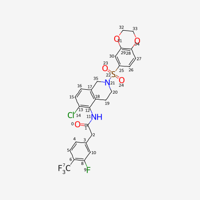 O=C(Cc1ccc(C(F)(F)F)c(F)c1)Nc1c(Cl)ccc2c1CCN(S(=O)(=O)c1ccc3c(c1)OCCO3)C2